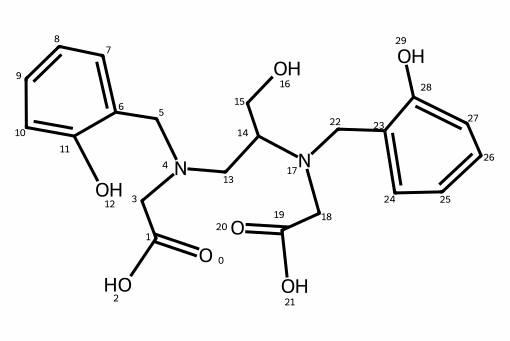 O=C(O)CN(Cc1ccccc1O)CC(CO)N(CC(=O)O)Cc1ccccc1O